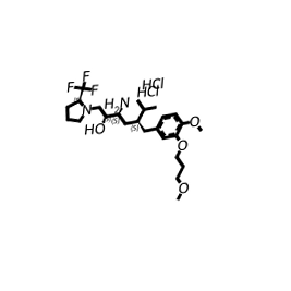 COCCCOc1cc(C[C@@H](C[C@H](N)[C@@H](O)CN2CCC[C@H]2C(F)(F)F)C(C)C)ccc1OC.Cl.Cl